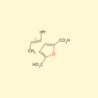 C/C=C/CCC.O=C(O)c1ccc(C(=O)O)o1